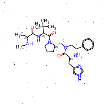 CN[C@@H](C)C(=O)N[C@H](C(=O)N1CCC[C@H]1CN(CCc1ccccc1)C(=O)[C@H](N)Cc1c[nH]cn1)C(C)(C)C